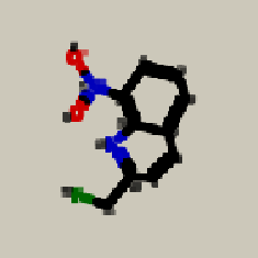 O=[N+]([O-])c1cccc2ccc(CF)nc12